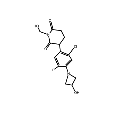 O=C1CCC(c2cc(F)c(N3CC(O)C3)cc2Cl)C(=O)N1CO